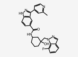 Cc1cc(-c2n[nH]c3ccc(C(=O)NC4CCCC(O)(Cn5ncc6cccc(F)c65)C4)cc23)ccn1